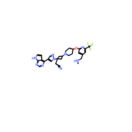 CNCc1cc(OC2CCN(C3CC(CC#N)(n4cc(-c5ncnc6[nH]ccc56)cn4)C3)CC2)nc(C(F)(F)F)c1